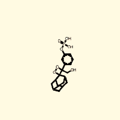 O=P(O)(O)Oc1cccc(C2(CO)OOC23C2CC4CC(C2)CC3C4)c1